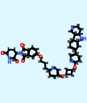 O=C1CCC(N2C(=O)c3ccc(OCCCc4ccc(O[C@H]5C[C@H](Oc6ccc(-c7ccc8c(c7)[nH]c7ccncc78)cn6)C5)cn4)cc3C2=O)C(=O)N1